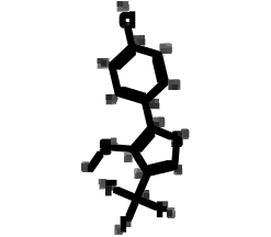 CSc1c(C(F)(F)F)csc1-c1ccc(Cl)cc1